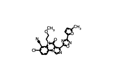 COCCn1c(=O)c2c(-c3nc(-c4ccc(C)o4)no3)ncn2c2ccc(Cl)c(C#N)c21